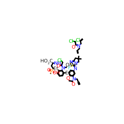 C#CCN1C(=O)COc2cc(F)c(/N=c3\snc4n3CC(C)(C)C4)cc21.C=CCN(CC=C)C(=O)C(Cl)Cl.CCc1cccc(CC)c1N(COC)C(=O)CCl.CP(=O)(O)CCC(N)C(=O)O